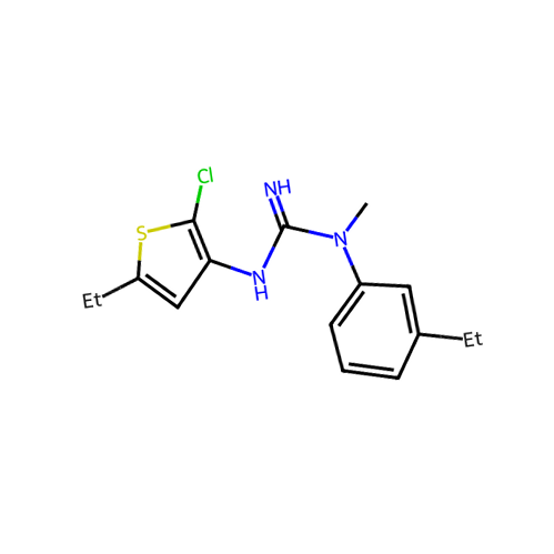 CCc1cccc(N(C)C(=N)Nc2cc(CC)sc2Cl)c1